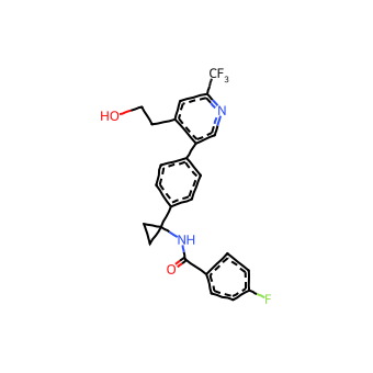 O=C(NC1(c2ccc(-c3cnc(C(F)(F)F)cc3CCO)cc2)CC1)c1ccc(F)cc1